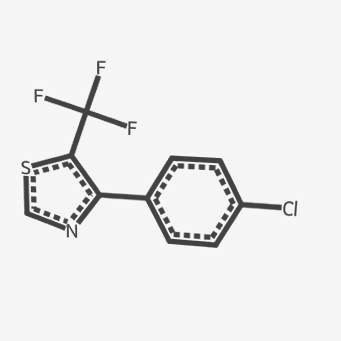 FC(F)(F)c1scnc1-c1ccc(Cl)cc1